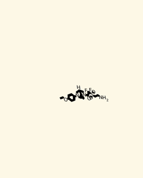 CCOc1ccc(N2C[C@H]3CN(C(=O)C(F)(F)S(=O)(=O)CCN)CC2C(C)(C)C3)cc1